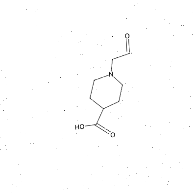 O=[C]CN1CCC(C(=O)O)CC1